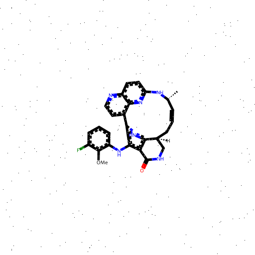 COc1c(F)cccc1Nc1c2[nH]c3c1C(=O)NC[C@@H]3C/C=C\[C@@H](C)Nc1ccc3nccc-2c3n1